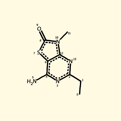 CCc1nc(N)c2sc(=O)n(C)c2n1